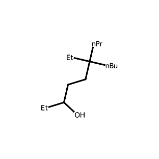 CCCCC(CC)(CCC)CCC(O)CC